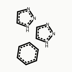 c1c[nH]nn1.c1c[nH]nn1.c1ccccc1